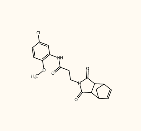 COc1ccc(Cl)cc1NC(=O)CCN1C(=O)C2C3C=CC(C3)C2C1=O